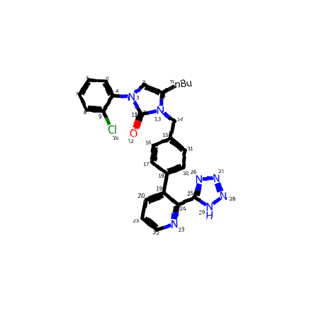 CCCCc1cn(-c2ccccc2Cl)c(=O)n1Cc1ccc(-c2cccnc2-c2nnn[nH]2)cc1